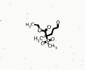 CCOC(=O)[C@@](C)(CCC=O)S(C)(=O)=O